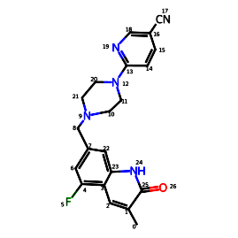 Cc1cc2c(F)cc(CN3CCN(c4ccc(C#N)cn4)CC3)cc2[nH]c1=O